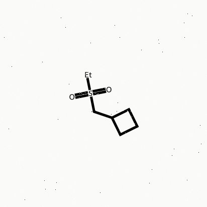 CCS(=O)(=O)[CH]C1CCC1